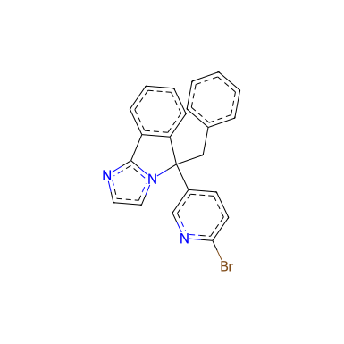 Brc1ccc(C2(Cc3ccccc3)c3ccccc3-c3nccn32)cn1